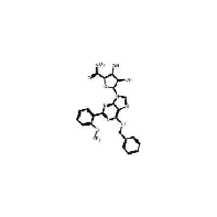 CNC(=O)C1OC(n2cnc3c(NCc4ccccc4)nc(-c4ccccc4OC(F)(F)F)nc32)C(O)C1O